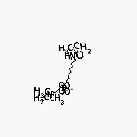 C=C(C)C(=O)NCCCCCCCCOP(=O)([O-])OCCC[N+](C)(C)C